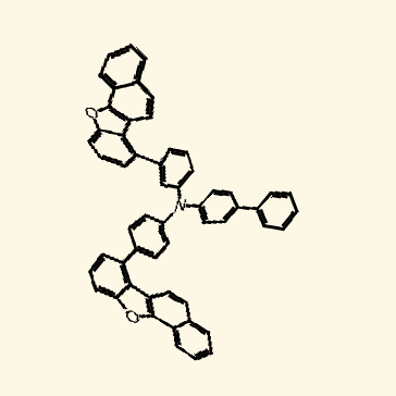 c1ccc(-c2ccc(N(c3ccc(-c4cccc5oc6c7ccccc7ccc6c45)cc3)c3cccc(-c4cccc5oc6c7ccccc7ccc6c45)c3)cc2)cc1